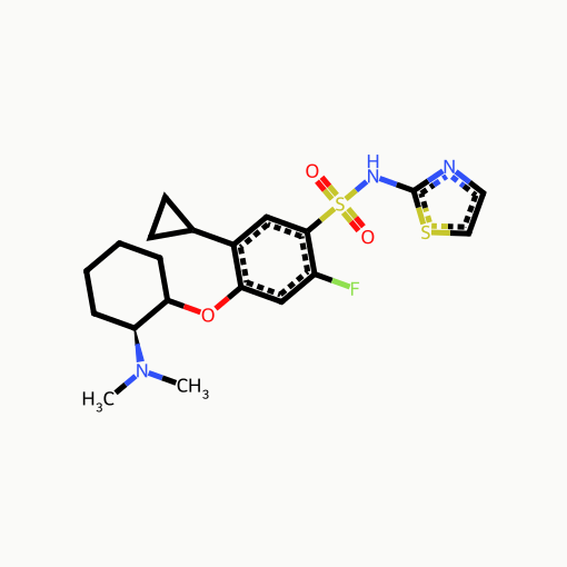 CN(C)[C@H]1CCCCC1Oc1cc(F)c(S(=O)(=O)Nc2nccs2)cc1C1CC1